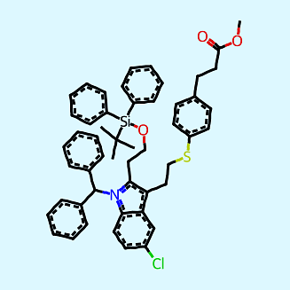 COC(=O)CCc1ccc(SCCc2c(CCO[Si](c3ccccc3)(c3ccccc3)C(C)(C)C)n(C(c3ccccc3)c3ccccc3)c3ccc(Cl)cc23)cc1